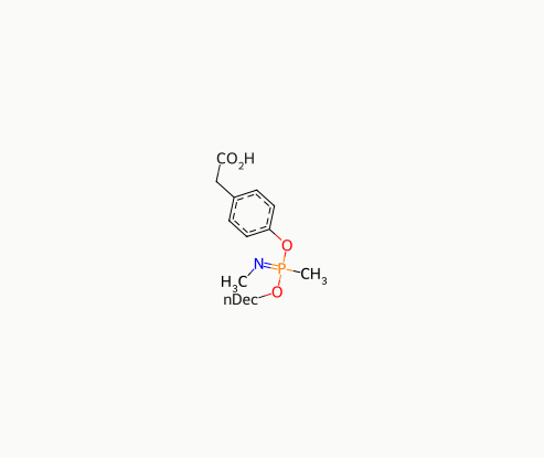 CCCCCCCCCCOP(C)(=NC)Oc1ccc(CC(=O)O)cc1